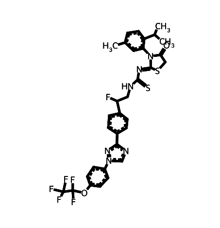 Cc1ccc(C(C)C)c(N2C(=O)CS/C2=N\C(=S)NCC(F)c2ccc(-c3ncn(-c4ccc(OC(F)(F)C(F)(F)F)cc4)n3)cc2)c1